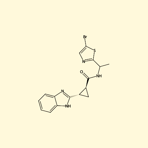 CC(NC(=O)[C@H]1C[C@@H]1c1nc2ccccc2[nH]1)c1ncc(Br)s1